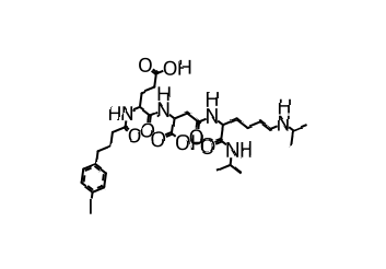 CC(C)NCCCCC(NC(=O)CC(NC(=O)C(CCC(=O)O)NC(=O)CCCc1ccc(I)cc1)C(=O)O)C(=O)NC(C)C